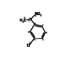 CN(c1cccc(Cl)c1)[N+](=O)[O-]